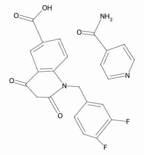 NC(=O)c1ccncc1.O=C(O)c1ccc2c(c1)C(=O)CC(=O)N2Cc1ccc(F)c(F)c1